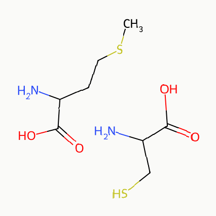 CSCCC(N)C(=O)O.NC(CS)C(=O)O